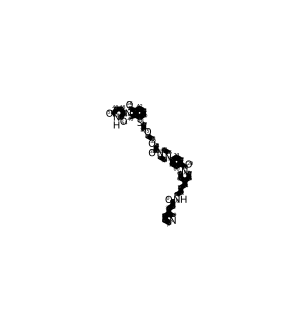 O=C(/C=C/c1cccnc1)NCCCCC1CCN(C(=O)c2ccc(N3CCN(C(=O)COCCOCCSc4cccc5c4CN(C4CCC(=O)NC4=O)C5=O)CC3)cc2)CC1